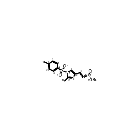 Cc1ccc(S(=O)(=O)n2cc(C=N[S@@+]([O-])C(C)(C)C)nc2C)cc1